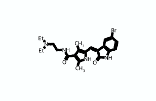 CCN(CC)CCNC(=O)c1c(C)[nH]c(C=C2C(=O)Nc3ccc(Br)cc32)c1C